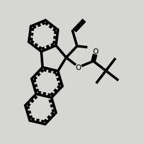 C=CC(C)C1(OC(=O)C(C)(C)C)c2ccccc2-c2cc3ccccc3cc21